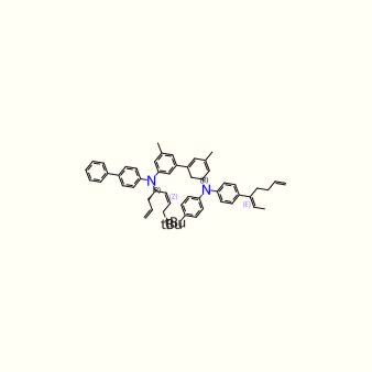 C=CCC/C(=C\C)c1ccc(N(c2ccc(C(C)(C)C)cc2)[C@H]2C=C(C)C=C(c3cc(C)cc(N(c4ccc(-c5ccccc5)cc4)[C@@H](/C=C\CC(C)(C)C)CC=C)c3)C2)cc1